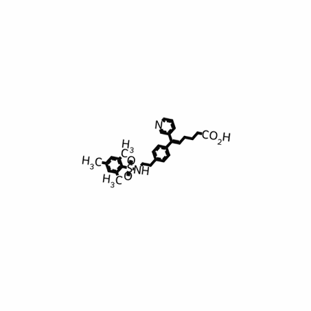 Cc1cc(C)c(S(=O)(=O)NCCc2ccc(/C(=C/CCCC(=O)O)c3cccnc3)cc2)c(C)c1